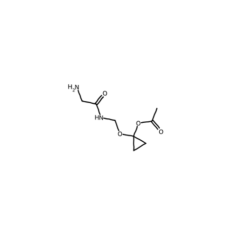 CC(=O)OC1(OCNC(=O)CN)CC1